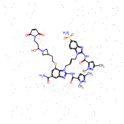 CCn1nc(C)cc1C(=O)Nc1nc2cc(S(N)(=O)=O)ccc2n1C/C=C/Cn1c(NC(=O)c2cc(C)nn2C)nc2cc(C(N)=O)cc(OCCC3CN(C(O)CCN4C(=O)C=CC4=O)C3)c21